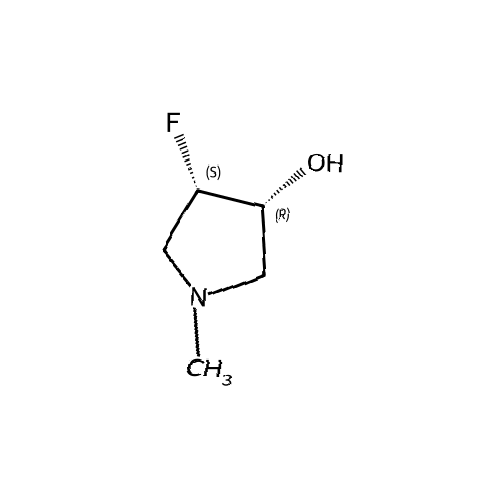 CN1C[C@@H](O)[C@@H](F)C1